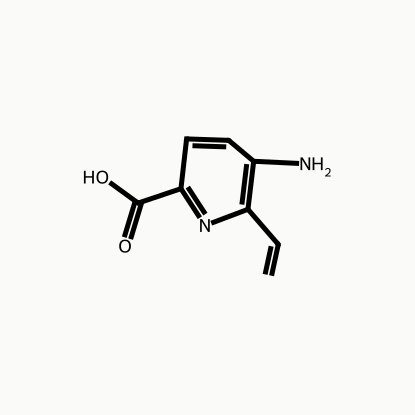 C=Cc1nc(C(=O)O)ccc1N